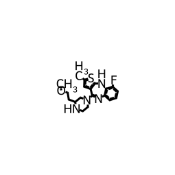 COCCC1CN(C2=Nc3cccc(F)c3Nc3sc(C)cc32)CCN1